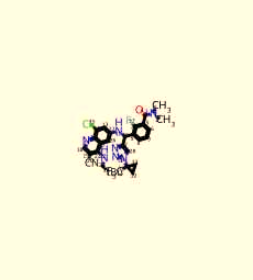 CN(C)C(=O)c1cccc(C(Nc2cc(Cl)c3ncc(C#N)c(NCC(C)(C)C)c3c2)c2cn(C3(C(F)(F)F)CC3)nn2)c1F